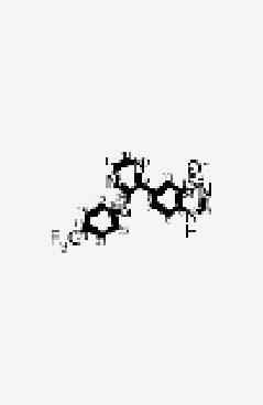 [O-][S+]1N=CNc2ccc(-c3nccnc3Sc3ccc(C(F)(F)F)cc3)cc21